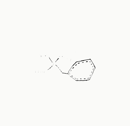 CCCCC[P+](CCCCC)(CCCCC)Cc1ccccc1.[I-]